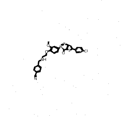 COc1cc(-n2cnc3cc(-c4ccc(Cl)cc4)sc3c2=O)ccc1OCCNCc1ccc(C#N)cc1